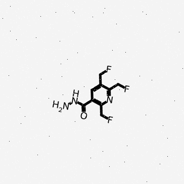 NNC(=O)c1cc(CF)c(CF)nc1CF